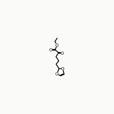 CCOC(=O)C(=O)CCCC1OC=CO1